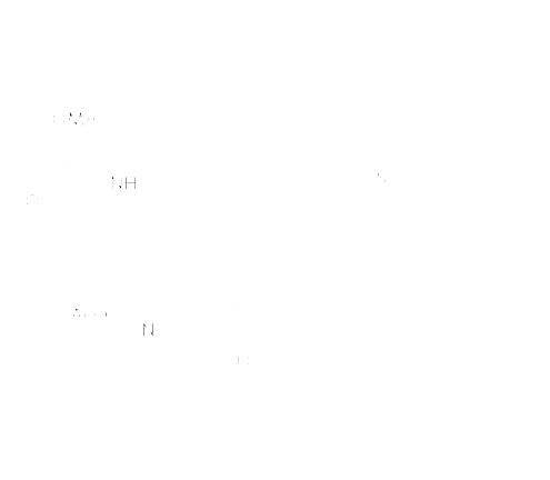 COC(=O)NCC/C(=N\OC(C)=O)C(=O)c1ccc(Sc2ccccc2)cc1